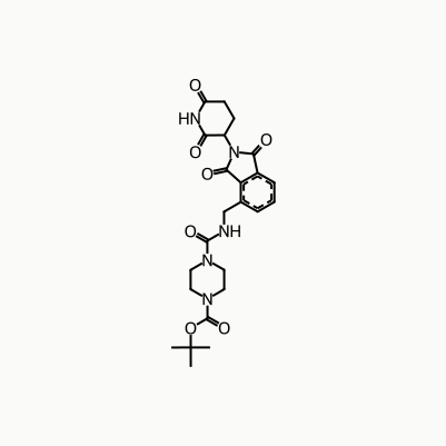 CC(C)(C)OC(=O)N1CCN(C(=O)NCc2cccc3c2C(=O)N(C2CCC(=O)NC2=O)C3=O)CC1